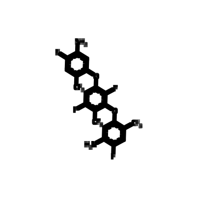 Nc1cc(Oc2cc(F)c(C(F)(F)F)c(Oc3cc(N)c(F)cc3C(F)(F)F)c2F)c(C(F)(F)F)cc1F